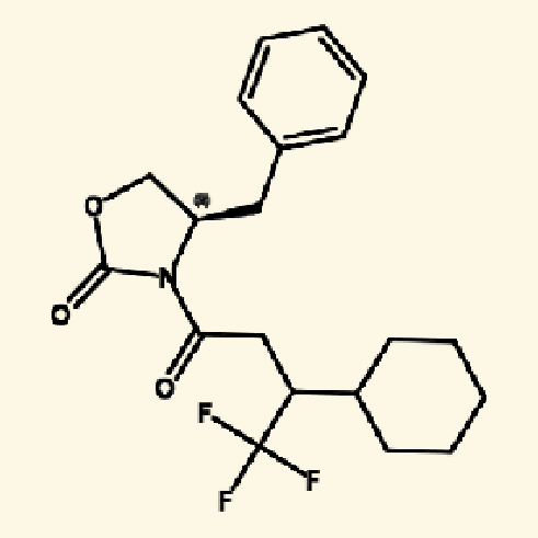 O=C(CC(C1CCCCC1)C(F)(F)F)N1C(=O)OC[C@H]1Cc1ccccc1